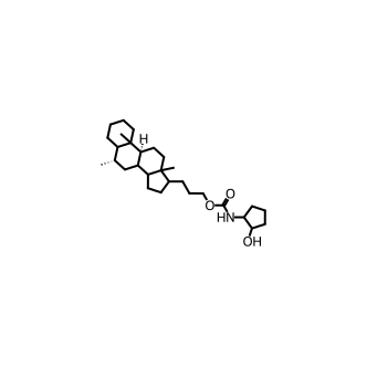 C[C@H]1CC2C3CCC(CCCOC(=O)NC4CCCC4O)C3(C)CC[C@@H]2C2(C)CCCCC12